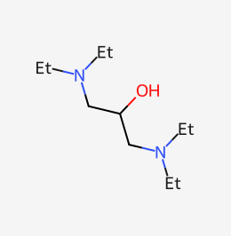 CCN(CC)CC(O)CN(CC)CC